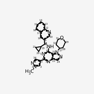 Cn1cc(-c2nc(N[C@@H](c3cnc4ccccc4c3)C3CC3)c3c(cnn3C3CCOCC3)n2)cn1